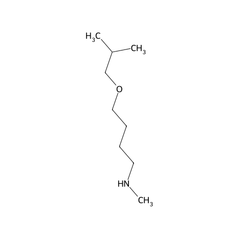 CNCCCCOCC(C)C